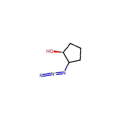 [N-]=[N+]=NC1CCC[C@@H]1O